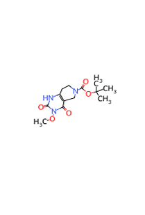 COn1c(=O)[nH]c2c(c1=O)CN(C(=O)OC(C)(C)C)CC2